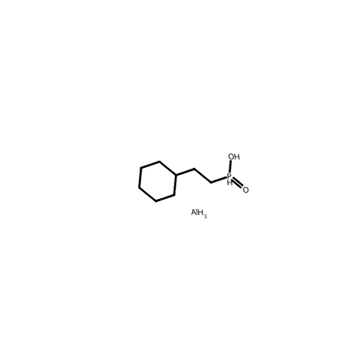 O=[PH](O)CCC1CCCCC1.[AlH3]